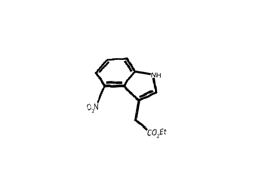 CCOC(=O)Cc1c[nH]c2cccc([N+](=O)[O-])c12